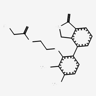 CCC(C)CC(=O)OCCOc1c(-c2cccc3c2CNC3=O)ccc(OC)c1OC